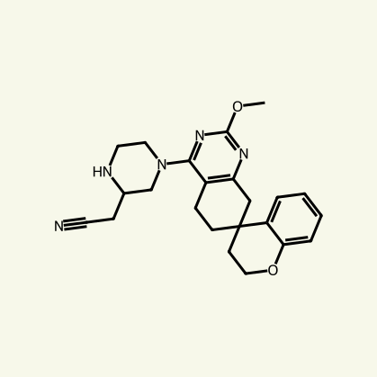 COc1nc2c(c(N3CCNC(CC#N)C3)n1)CCC1(CCOc3ccccc31)C2